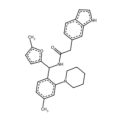 Cc1ccc(C(NC(=O)Cc2ccc3cc[nH]c3c2)c2ccc(C)o2)c(N2CCCCC2)c1